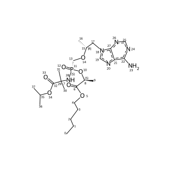 CCCCCOC(=O)[C@H](C)O[P@@](=O)(CO[C@H](C)Cn1cnc2c(N)ncnc21)NC(C)(C)C(=O)OC(C)C